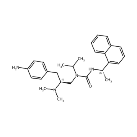 CC(C)N(C[C@H](Cc1ccc(N)cc1)N(C)C)C(=O)N[C@@H](C)c1cccc2ccccc12